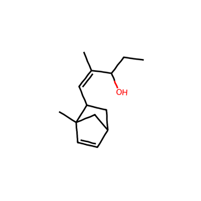 CCC(O)C(C)=CC1CC2C=CC1(C)C2